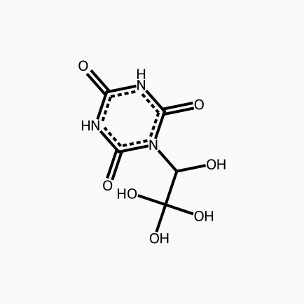 O=c1[nH]c(=O)n(C(O)C(O)(O)O)c(=O)[nH]1